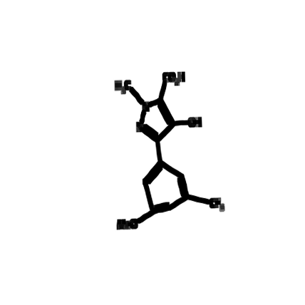 COc1cc(-c2nn(C)c(C(=O)O)c2O)cc(C(F)(F)F)c1